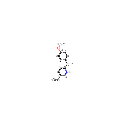 CCCCCCCCCCc1ccc(C(C)c2ccc(OCCC)cc2)nc1